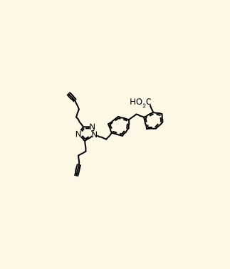 C#CCCc1nc(CCC#C)n(Cc2ccc(Cc3ccccc3C(=O)O)cc2)n1